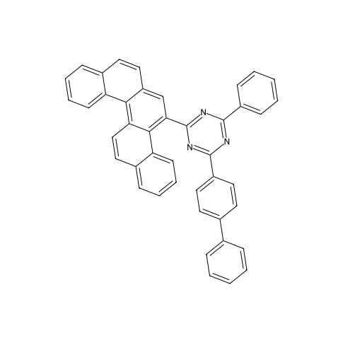 c1ccc(-c2ccc(-c3nc(-c4ccccc4)nc(-c4cc5ccc6ccccc6c5c5ccc6ccccc6c45)n3)cc2)cc1